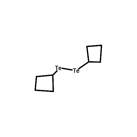 C1CC([Te][Te]C2CCC2)C1